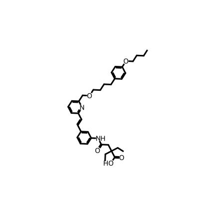 CCCCOc1ccc(CCCCOCc2cccc(/C=C/c3cccc(NC(=O)CC(CC)(CC)C(=O)O)c3)n2)cc1